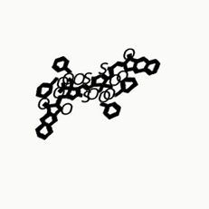 O=C1C(=CC2=Cc3sc4c5c(sc4c3C2(C(=O)OCc2ccccc2)C(=O)OCc2ccccc2)-c2sc(C=C3C(=O)c4cc6ccccc6cc4C3=O)cc2C5(C(=O)OCc2ccccc2)C(=O)OCc2ccccc2)C(=O)c2cc3ccccc3cc21